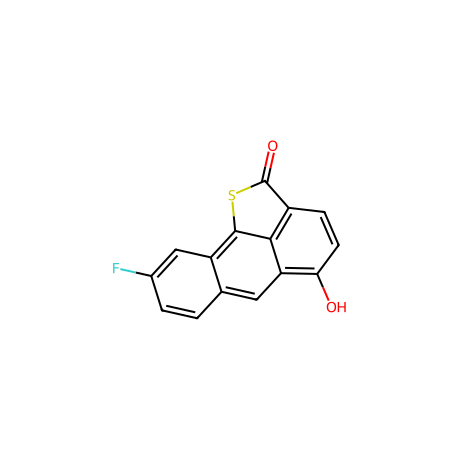 O=C1Sc2c3cc(F)ccc3cc3c(O)ccc1c23